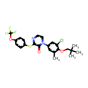 Cc1cc(-n2ccnc(Sc3ccc(OC(F)(F)F)cc3)c2=O)cc(Cl)c1OCC(C)(C)C